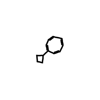 C1=CC=CC(C2CCC2)=CC=C1